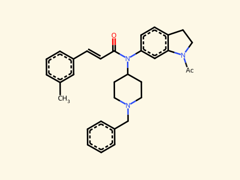 CC(=O)N1CCc2ccc(N(C(=O)C=Cc3cccc(C)c3)C3CCN(Cc4ccccc4)CC3)cc21